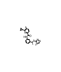 Cc1ccc(C(=O)Nc2cccc([C@H](C)Sc3nncn3C)c2)nc1C1CC1